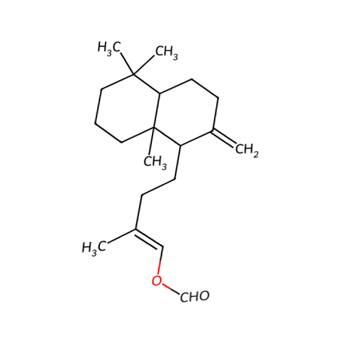 C=C1CCC2C(C)(C)CCCC2(C)C1CCC(C)=COC=O